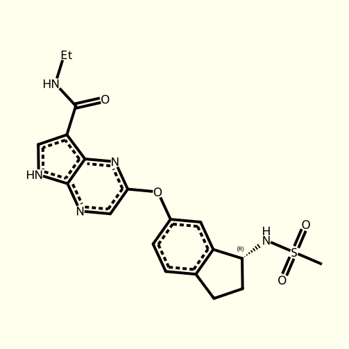 CCNC(=O)c1c[nH]c2ncc(Oc3ccc4c(c3)[C@H](NS(C)(=O)=O)CC4)nc12